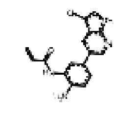 C=CC(=O)Nc1cc(-c2cnc3[nH]cc(Cl)c3c2)ccc1N